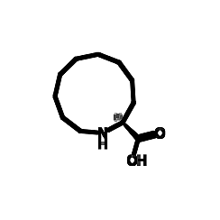 O=C(O)[C@@H]1CCCCCCCCCN1